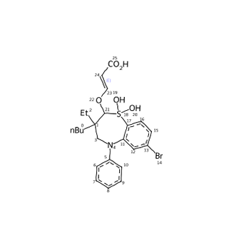 CCCCC1(CC)CN(c2ccccc2)c2cc(Br)ccc2S(O)(O)C1O/C=C/C(=O)O